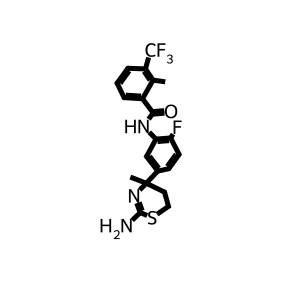 Cc1c(C(=O)Nc2cc(C3(C)CCSC(N)=N3)ccc2F)cccc1C(F)(F)F